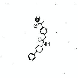 CC(c1ccc(CC(=O)NC2CCC(c3ccccc3)CC2)cc1)[SH](=O)=O